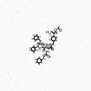 CC(=O)O/N=C(\N)c1ccc(CNC(=O)[C@H](CCC(=O)OCc2ccccc2)NC(=O)[C@@H](CCc2ccccc2)N[S+]([O-])Cc2ccccc2)cc1